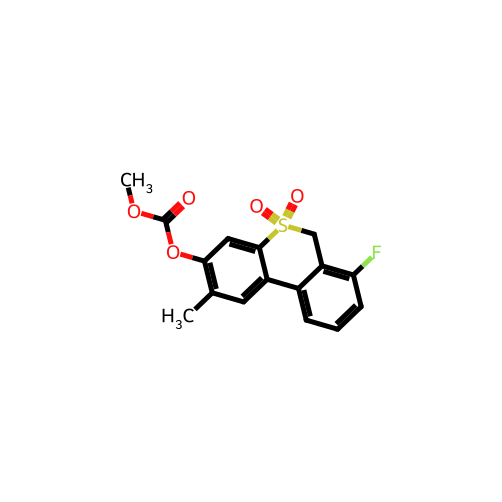 COC(=O)Oc1cc2c(cc1C)-c1cccc(F)c1CS2(=O)=O